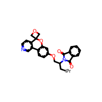 CC(C)CC(COc1ccc2c(c1)OC1(COC1)c1ccncc1-2)N1C(=O)c2ccccc2C1=O